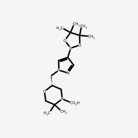 CC1(C)CO[C@H](Cn2cc(B3OC(C)(C)C(C)(C)O3)cn2)CN1C(=O)O